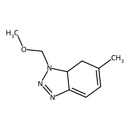 COCN1N=NC2=CC=C(C)CC21